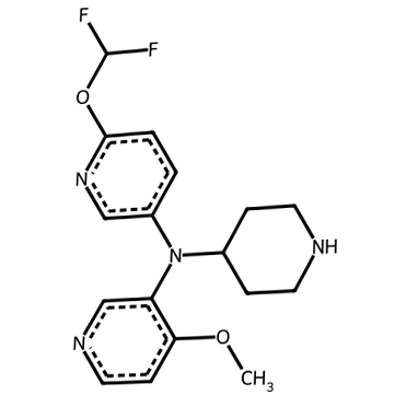 COc1ccncc1N(c1ccc(OC(F)F)nc1)C1CCNCC1